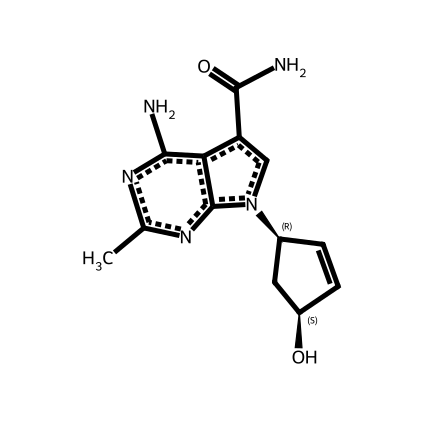 Cc1nc(N)c2c(C(N)=O)cn([C@H]3C=C[C@@H](O)C3)c2n1